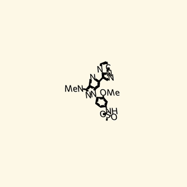 CNc1nn(-c2ccc(NS(C)(=O)=O)cc2OC)c2cc(-c3cnn4cccnc34)ncc12